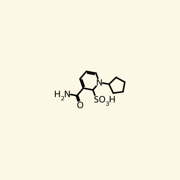 NC(=O)C1=CC=CN(C2CCCC2)C1S(=O)(=O)O